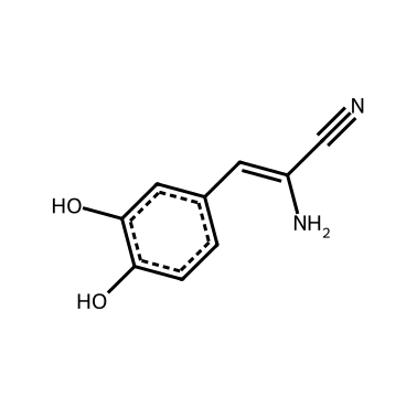 N#CC(N)=Cc1ccc(O)c(O)c1